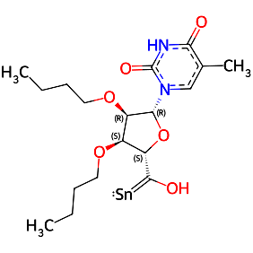 CCCCO[C@@H]1[C@H](OCCCC)[C@@H]([C](O)=[Sn])O[C@H]1n1cc(C)c(=O)[nH]c1=O